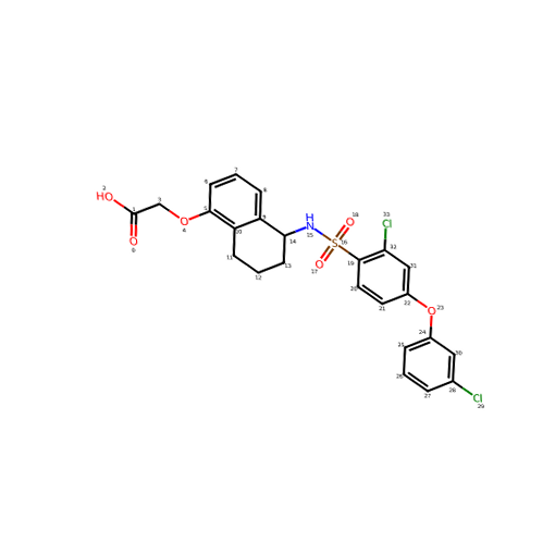 O=C(O)COc1cccc2c1CCCC2NS(=O)(=O)c1ccc(Oc2cccc(Cl)c2)cc1Cl